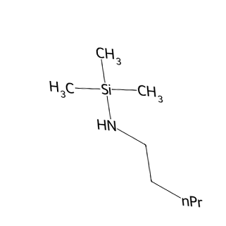 CCCCCN[Si](C)(C)C